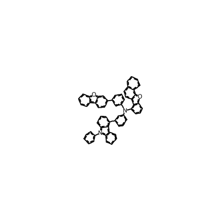 c1ccc(-n2c3ccccc3c3c(-c4cccc(N(c5cccc(-c6ccc7c(c6)oc6ccccc67)c5)c5cccc6oc7c8ccccc8ccc7c56)c4)cccc32)cc1